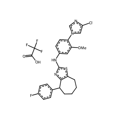 COc1cc(Nc2nc3c(s2)CCCCC3c2ccc(F)cc2)ccc1-n1cnc(Cl)c1.O=C(O)C(F)(F)F